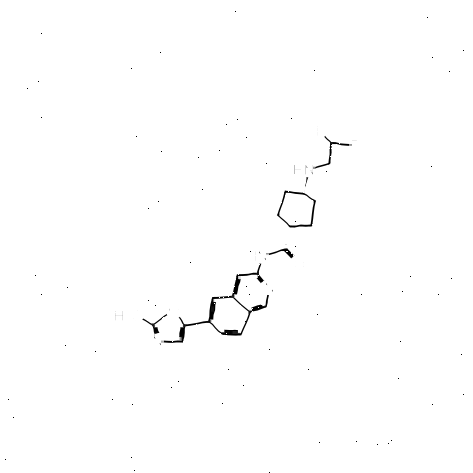 Cc1ncc(-c2ccc3cnc(NC(=O)[C@H]4CC[C@H](NCC(F)F)CC4)cc3c2)o1